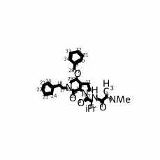 CN[C@@H](C)C(=O)N[C@H](C(=O)N1CCC2C1C(=O)N(CCc1ccccc1)C[C@H]2OCc1ccccc1)C(C)C